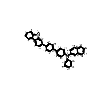 Cn1c2ccccc2c2ccc(-c3ccc(-c4ccc(N(c5ccccc5)c5ccc6ccccc6c5)cc4)cc3)cc21